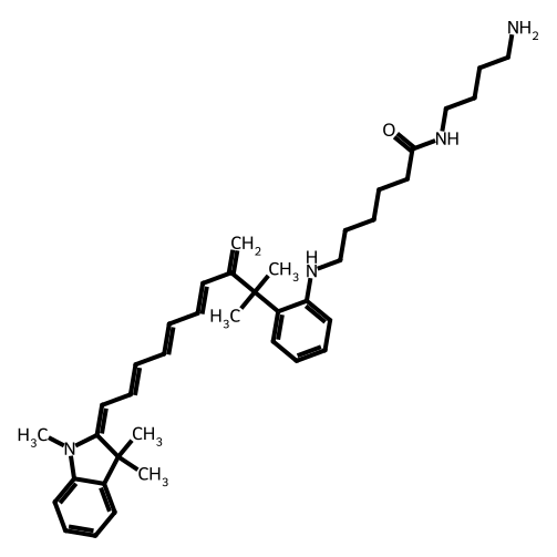 C=C(/C=C/C=C/C=C/C=C1/N(C)c2ccccc2C1(C)C)C(C)(C)c1ccccc1NCCCCCC(=O)NCCCCN